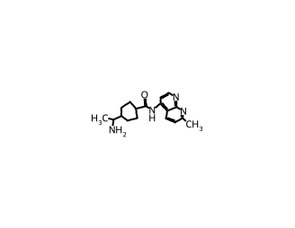 Cc1ccc2c(NC(=O)C3CCC(C(C)N)CC3)ccnc2n1